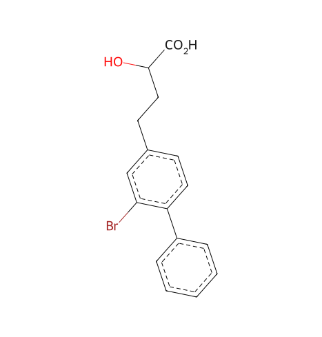 O=C(O)C(O)CCc1ccc(-c2ccccc2)c(Br)c1